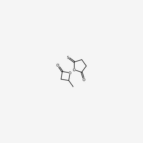 CC1CC(=O)O1.O=C1CCC(=S)O1